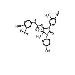 [C-]#[N+]c1ccc(N2C(=S)N(c3ccc(O)cc3)C(C)(C)C2=NC(=S)Nc2ccc(C#N)c(C(F)(F)F)c2)cc1C